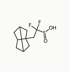 O=S(O)C(F)(F)CC12CC3CC1CC3C2